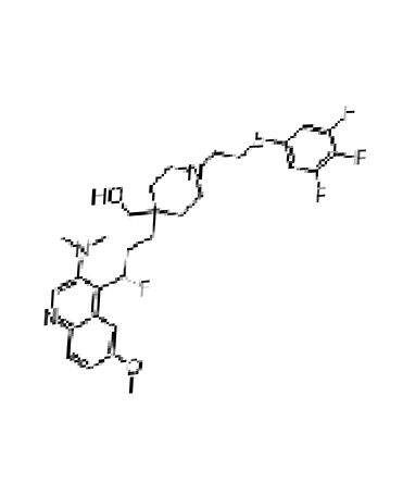 COc1ccc2ncc(N(C)C)c([C@@H](F)CCC3(CO)CCN(CCSc4cc(F)c(F)c(F)c4)CC3)c2c1